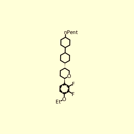 CCCCCC1CCC(C2CCC([C@H]3CC[C@H](c4ccc(OCC)c(F)c4F)OC3)CC2)CC1